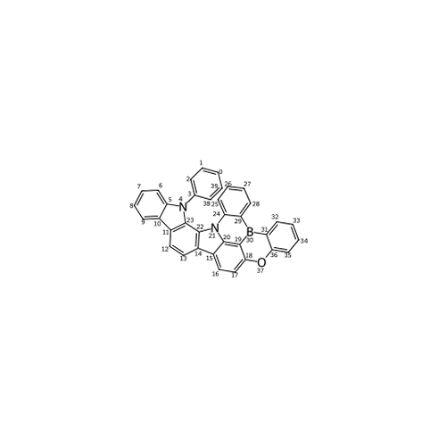 c1ccc(-n2c3ccccc3c3ccc4c5ccc6c7c5n(c4c32)-c2ccccc2B7c2ccccc2O6)cc1